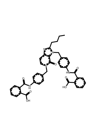 CCCCc1nc2ccn(Cc3ccc(NC(=O)c4ccccc4C(=O)O)cc3)c(=O)c2n1Cc1ccc(NC(=O)c2ccccc2C(=O)O)cc1